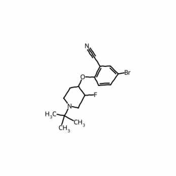 CC(C)(C)N1CCC(Oc2ccc(Br)cc2C#N)C(F)C1